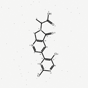 CC(C(=O)O)N1Cc2ncc(-c3nc(Cl)ncc3Cl)cc2C1=O